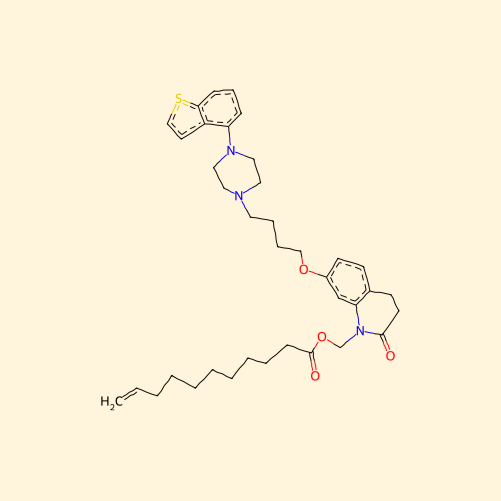 C=CCCCCCCCCC(=O)OCN1C(=O)CCc2ccc(OCCCCN3CCN(c4cccc5sccc45)CC3)cc21